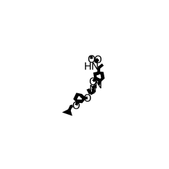 COC(=O)NC(C)c1ccc2nc(N3CC(Oc4cccc(OCC5CC5)c4)C3)oc2c1